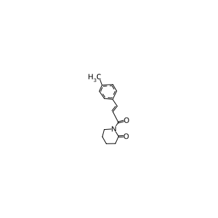 Cc1ccc(/C=C/C(=O)N2CCCCC2=O)cc1